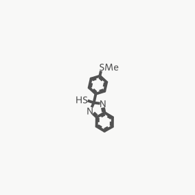 CSc1ccc(C2(S)N=c3ccccc3=N2)cc1